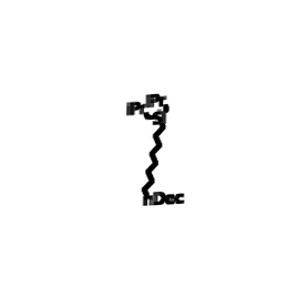 CCCCCCCCCCCCCCCCCC[Si](CC(C)C)CC(C)C